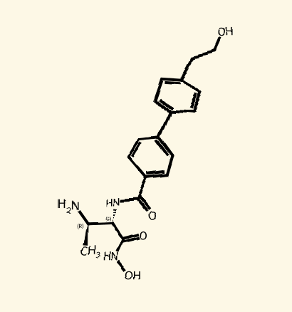 C[C@@H](N)[C@H](NC(=O)c1ccc(-c2ccc(CCO)cc2)cc1)C(=O)NO